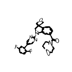 O=C(c1ccc2c(c1)N(c1ncc(-c3cc(F)ccc3F)cn1)CC21COC1)N1CCOCC1